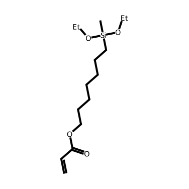 C=CC(=O)OCCCCCCC[Si](C)(OCC)OCC